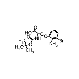 CC(C)(C)OC(=O)N[C@@H](COc1cccc(Br)c1N)C(=O)O